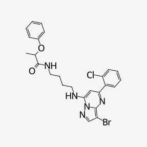 CC(Oc1ccccc1)C(=O)NCCCCNc1cc(-c2ccccc2Cl)nc2c(Br)cnn12